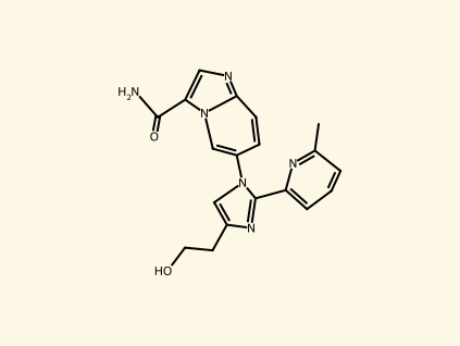 Cc1cccc(-c2nc(CCO)cn2-c2ccc3ncc(C(N)=O)n3c2)n1